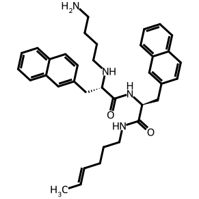 C/C=C/CCCNC(=O)[C@H](Cc1ccc2ccccc2c1)NC(=O)[C@H](Cc1ccc2ccccc2c1)NCCCCN